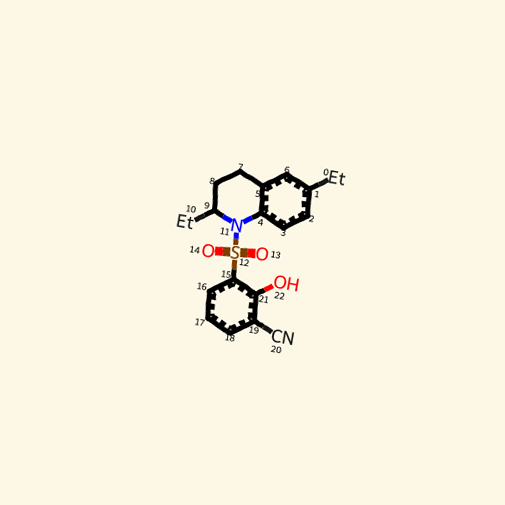 CCc1ccc2c(c1)CCC(CC)N2S(=O)(=O)c1cccc(C#N)c1O